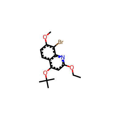 CCOc1cc(OC(C)(C)C)c2ccc(OC)c(Br)c2n1